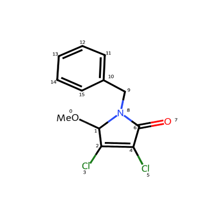 COC1C(Cl)=C(Cl)C(=O)N1Cc1ccccc1